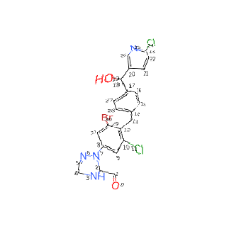 O=CC1NCC=NN1c1cc(Cl)c(Cc2ccc(C(O)c3ccc(Cl)nc3)cc2)c(Br)c1